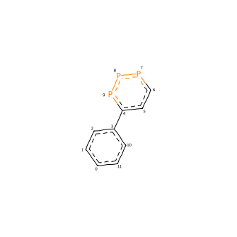 c1ccc(-c2ccppp2)cc1